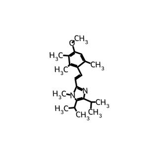 COc1cc(C)c(/C=C/c2nc(C(C)C)c(C(C)C)n2C)c(C)c1C